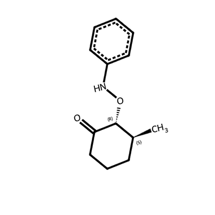 C[C@H]1CCCC(=O)[C@@H]1ONc1ccccc1